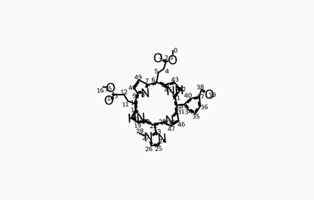 COC(=O)CCc1c2nc(c(CCC(=O)OC)c3ccc([nH]3)c(-c3nccn3C)c3nc(c(-c4cccc(C=O)c4)c4ccc1[nH]4)C=C3)C=C2